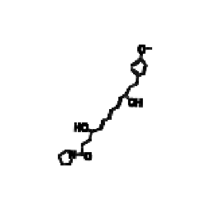 COc1ccc(CCC(O)C=CC=CC=CC(O)CCC(=O)N2CCCC2)cc1